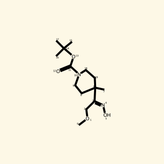 COCC(=NO)C1(C)CCN(C(=O)OC(C)(C)C)CC1